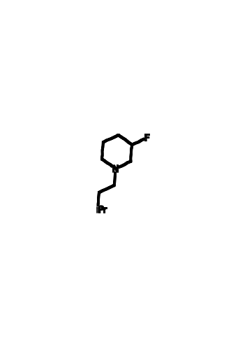 CC(C)CCN1CCCC(F)C1